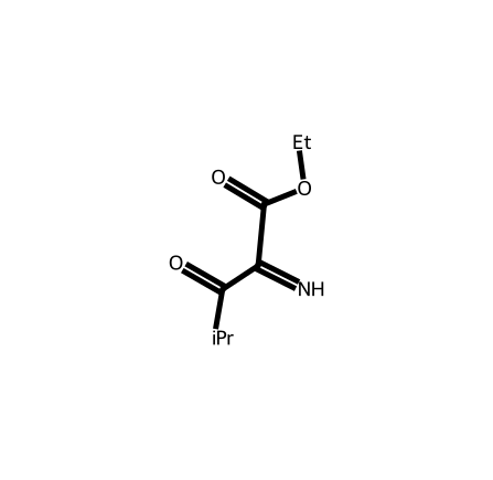 CCOC(=O)C(=N)C(=O)C(C)C